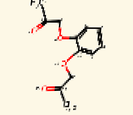 CC(=O)COc1ccccc1OCC(C)=O